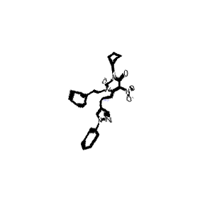 O=c1c([N+](=O)[O-])c(/C=C/c2cnn(-c3ccccc3)c2)n(CCc2ccccc2)c(=O)n1C1CCC1